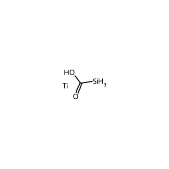 O=C(O)[SiH3].[Ti]